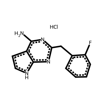 Cl.Nc1nc(Cc2ccccc2F)nc2[nH]ccc12